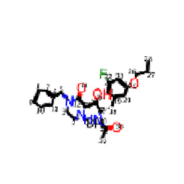 BN1CCN(Cc2ccccc2)C(=O)[C@@H]1[C@@H](O)[C@H](Cc1cc(F)cc(OCCC)c1)NC(C)=O